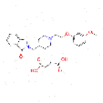 COc1cccc(OCCN2CCC(CN3Cc4ccccc4C3=O)CC2)c1.O=C(O)C=CC(=O)O